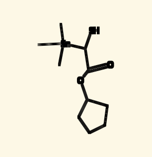 [CH3][Sn]([CH3])([CH3])[CH](S)C(=O)OC1CCCC1